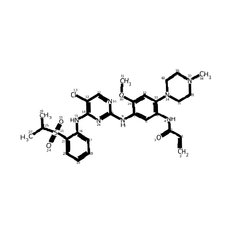 C=CC(=O)Nc1cc(Nc2ncc(Cl)c(Nc3ccccc3S(=O)(=O)C(C)C)n2)c(OC)cc1N1CCN(C)CC1